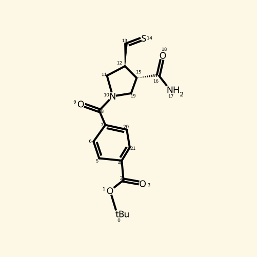 CC(C)(C)OC(=O)c1ccc(C(=O)N2C[C@@H](C=S)[C@H](C(N)=O)C2)cc1